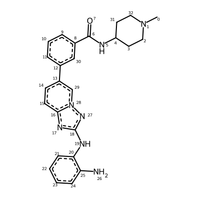 CN1CCC(NC(=O)c2cccc(-c3ccc4nc(Nc5ccccc5N)nn4c3)c2)CC1